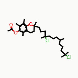 CC(=O)Oc1c(C)c(C)c2c(c1C)CCC(C)(CCCC(C)(Cl)CCCC(C)CCCC(C)(C)Cl)O2